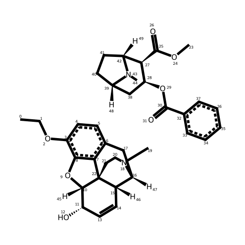 CCOc1ccc2c3c1O[C@H]1[C@@H](O)C=C[C@H]4[C@@H](C2)N(C)CC[C@@]341.COC(=O)[C@H]1[C@@H](OC(=O)c2ccccc2)C[C@@H]2CC[C@H]1N2C